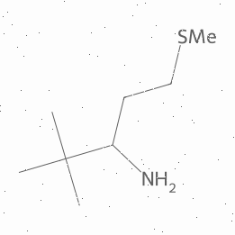 CSCCC(N)C(C)(C)C